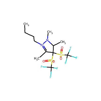 CCCC[N+]1=C(C)C(S(=O)(=O)C(F)(F)F)(S(=O)(=O)C(F)(F)F)C(C)N1C